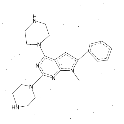 Cn1c(-c2ccccc2)cc2c(N3CCNCC3)nc(N3CCNCC3)nc21